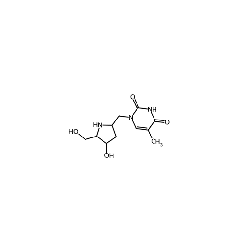 Cc1cn(CC2CC(O)C(CO)N2)c(=O)[nH]c1=O